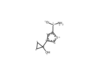 N[S+]([O-])c1cc(C2(O)CC2)cs1